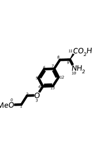 COCCOc1ccc(C[C@H](N)C(=O)O)cc1